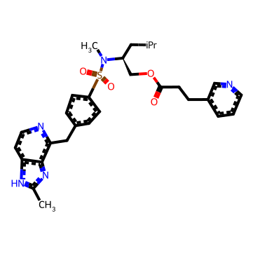 Cc1nc2c(Cc3ccc(S(=O)(=O)N(C)[C@H](COC(=O)CCc4cccnc4)CC(C)C)cc3)nccc2[nH]1